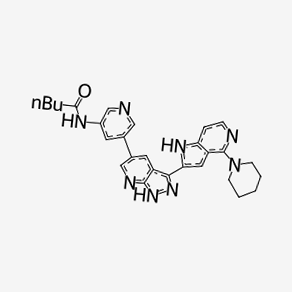 CCCCC(=O)Nc1cncc(-c2cnc3[nH]nc(-c4cc5c(N6CCCCC6)nccc5[nH]4)c3c2)c1